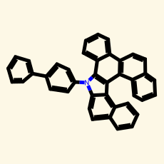 c1ccc(-c2ccc(-n3c4ccc5ccccc5c4c4c5c6ccccc6ccc5c5ccccc5c43)cc2)cc1